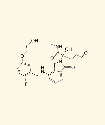 CNC(=O)C(O)(CCC=O)N1Cc2c(NCc3cc(OCCO)ccc3F)cccc2C1=O